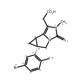 Cn1c(CC(=O)O)c2n(c1=S)C[C@@]1(c3cc(Br)ccc3F)CC21